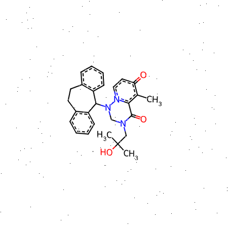 Cc1c2n(ccc1=O)N(C1c3ccccc3CCc3ccccc31)CN(CC(C)(C)O)C2=O